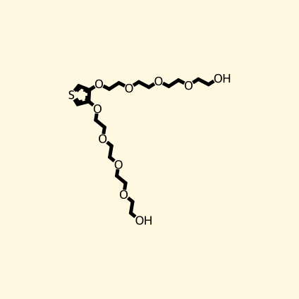 OCCOCCOCCOCCOc1cscc1OCCOCCOCCOCCO